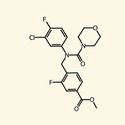 COC(=O)c1ccc(CN(C(=O)N2CCOCC2)c2ccc(F)c(Cl)c2)c(F)c1